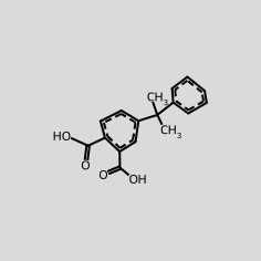 CC(C)(c1ccccc1)c1ccc(C(=O)O)c(C(=O)O)c1